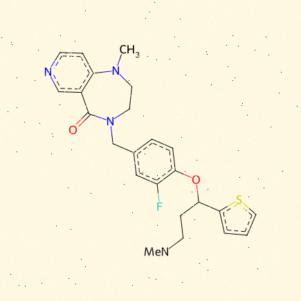 CNCCC(Oc1ccc(CN2CCN(C)c3ccncc3C2=O)cc1F)c1cccs1